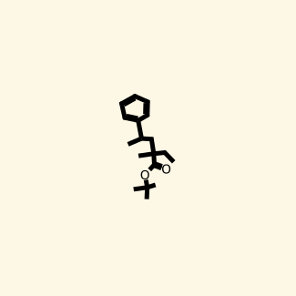 CCC(C)(CC(C)c1ccccc1)C(=O)OC(C)(C)C